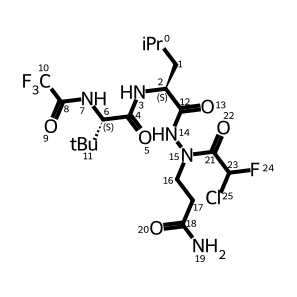 CC(C)C[C@H](NC(=O)[C@@H](NC(=O)C(F)(F)F)C(C)(C)C)C(=O)NN(CCC(N)=O)C(=O)C(F)Cl